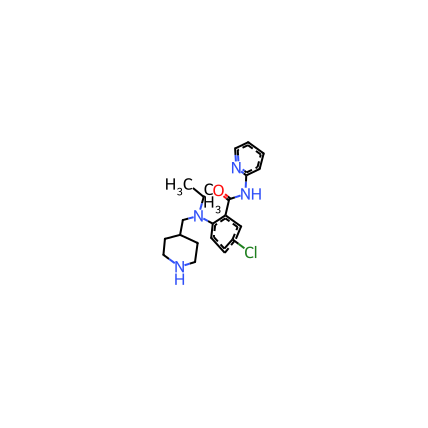 CC(C)N(CC1CCNCC1)c1ccc(Cl)cc1C(=O)Nc1ccccn1